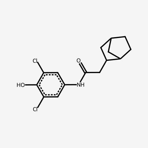 O=C(CC1CC2CCC1C2)Nc1cc(Cl)c(O)c(Cl)c1